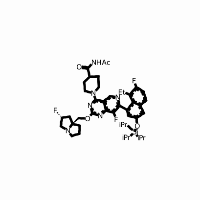 CCc1c(F)ccc2cc(O[Si](C(C)C)(C(C)C)C(C)C)cc(-c3ncc4c(N5CCC(C(=O)NC(C)=O)CC5)nc(OC[C@@]56CCCN5C[C@H](F)C6)nc4c3F)c12